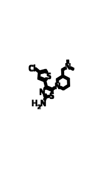 CN(C)CC1CCCN(c2sc(N)nc2-c2cc(Cl)cs2)C1